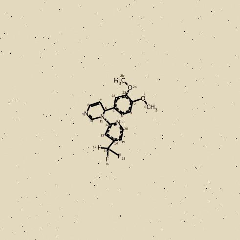 COc1ccc(C2C=CN=CN2c2cc(C(F)(F)F)ccn2)cc1OC